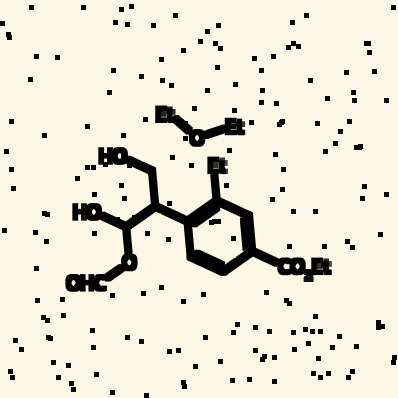 CCOC(=O)c1ccc(C(CO)C(O)OC=O)c(CC)c1.CCOCC